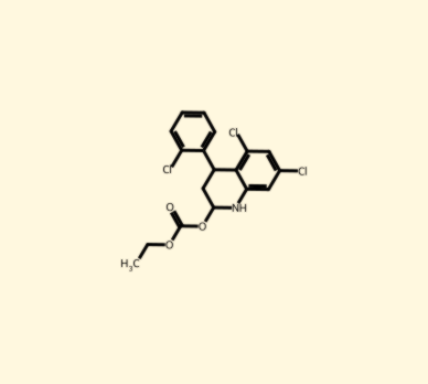 CCOC(=O)OC1CC(c2ccccc2Cl)c2c(Cl)cc(Cl)cc2N1